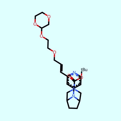 CC(C)(C)OC(=O)N1CC2CCC(C1)N2c1ccnc(/C=C/COCCOC2COCCO2)c1